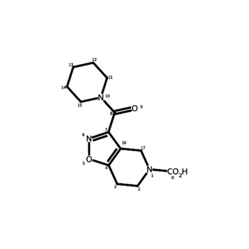 O=C(O)N1CCc2onc(C(=O)N3CCCCC3)c2C1